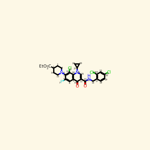 CCOC(=O)C1CCN(c2c(F)cc3c(=O)c(C(=O)NCc4ccc(Cl)cc4Cl)cn(C4CC4)c3c2Cl)CC1